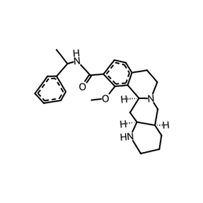 COc1c(C(=O)NC(C)c2ccccc2)ccc2c1[C@@H]1C[C@@H]3NCCC[C@@H]3CN1CC2